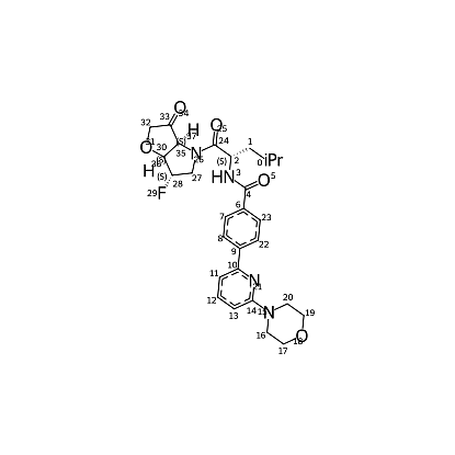 CC(C)C[C@H](NC(=O)c1ccc(-c2cccc(N3CCOCC3)n2)cc1)C(=O)N1C[C@H](F)[C@H]2OCC(=O)[C@H]21